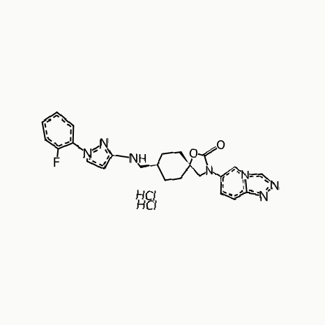 Cl.Cl.O=C1O[C@]2(CC[C@H](CNc3ccn(-c4ccccc4F)n3)CC2)CN1c1ccc2nncn2c1